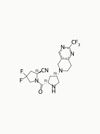 N#C[C@@H]1CC(F)(F)CN1C(=O)[C@@H]1C[C@H](N2CCc3nc(C(F)(F)F)ncc3C2)CN1